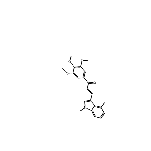 COc1cc(C(=O)C=Cc2cn(C)c3cccc(C)c23)cc(OC)c1OC